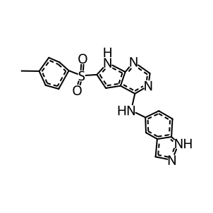 Cc1ccc(S(=O)(=O)c2cc3c(Nc4ccc5[nH]ncc5c4)ncnc3[nH]2)cc1